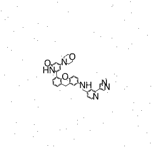 Cn1cc(-c2cc(CNc3ccc4c(c3)Cc3cccc(-c5cc(N6CCOCC6)cc(=O)[nH]5)c3O4)ccn2)cn1